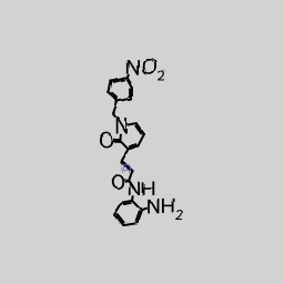 Nc1ccccc1NC(=O)/C=C/c1cccn(Cc2ccc([N+](=O)[O-])cc2)c1=O